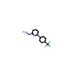 NCc1cccc(-c2ccc(C(F)(F)F)cc2)n1